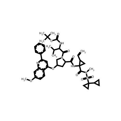 C=CC1CC1(NC(=O)C1CC(Oc2cc(-c3ccccc3)nc3cc(OC)ccc23)CN1C(=O)C(NC(=O)OC(C)(C)C)C(C)C)C(=O)N(C)S(=O)(=O)C1(C2CC2)CC1